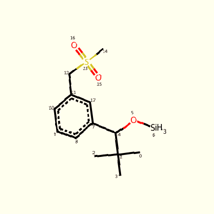 CC(C)(C)C(O[SiH3])c1cccc(CS(C)(=O)=O)c1